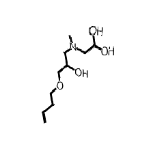 CCCCOCC(O)CN(C)CC(O)O